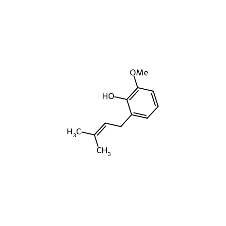 COc1cccc(CC=C(C)C)c1O